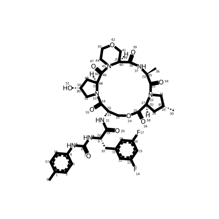 Cc1ccc(NC(=O)N[C@@H](Cc2cc(F)cc(F)c2)C(=O)N[C@H]2COC(=O)[C@@H]3C[C@@H](C)CN3C(=O)[C@H](C)NC(=O)[C@@H]3COCCN3C(=O)[C@@H]3C[C@@H](O)CN3C2=O)cc1